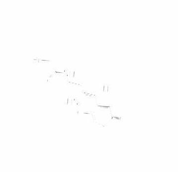 CC1=C(CCNC(=O)CBr)NOC2=CCC(=O)C=C21